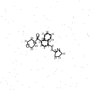 O=C(c1ccc(CCC2=NCCC2)c2ccccc12)N1CCOCC1